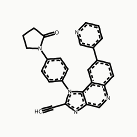 C#Cc1nc2cnc3ccc(-c4cccnc4)cc3c2n1-c1ccc(N2CCCC2=O)cc1